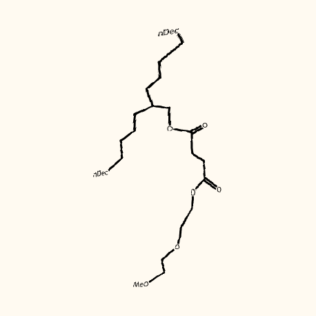 CCCCCCCCCCCCCCC(CCCCCCCCCCCCCC)COC(=O)CCC(=O)OCCOCCOC